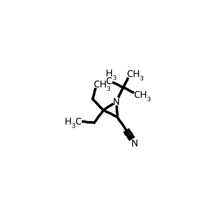 CCC1(CC)C(C#N)N1C(C)(C)C